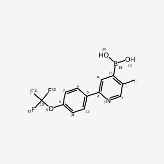 Cc1cnc(-c2ccc(OC(F)(F)F)cc2)cc1B(O)O